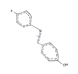 Oc1ccc(/C=N/c2ccc(F)cc2)cc1